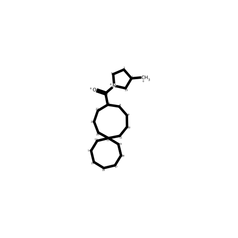 CC1CCN(C(=O)C2CCCCC3(CCCCCCC3)CCC2)C1